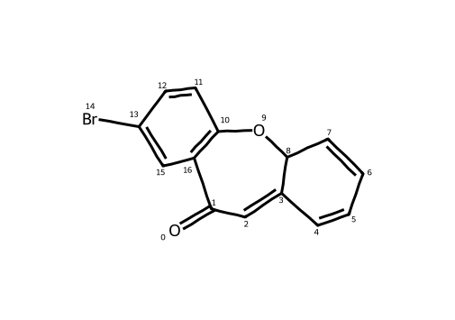 O=C1C=C2C=CC=CC2Oc2ccc(Br)cc21